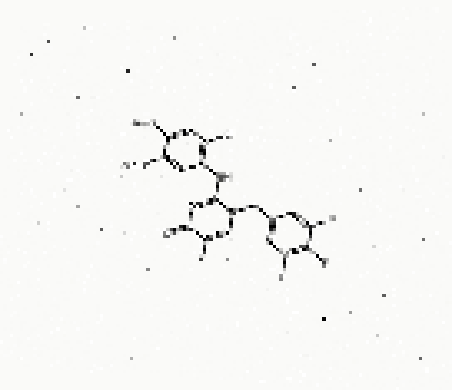 COc1cc(Cl)c(Nc2nc(=O)c(C)cn2Cc2cc(F)c(F)c(F)c2)cc1OC